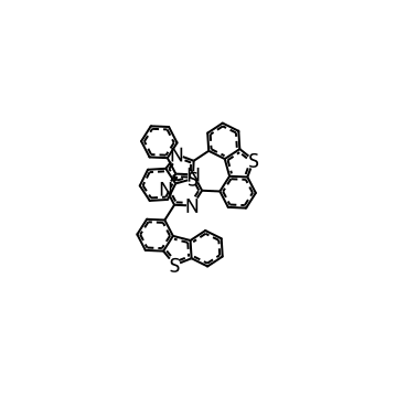 c1ccc(-c2nc(-c3cccc4sc5ccccc5c34)nc(-c3cccc4sc5cccc(-c6nc7ccccc7s6)c5c34)n2)cc1